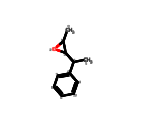 CC1OC1C(C)c1ccccc1